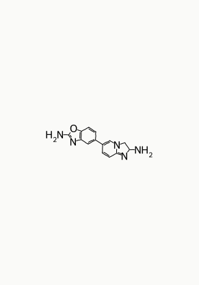 Nc1nc2cc(C3=CN4CC(N)N=C4C=C3)ccc2o1